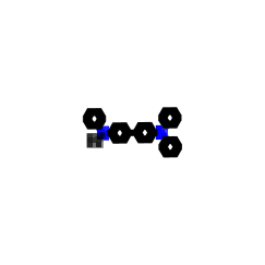 CCN(c1ccccc1)c1ccc(-c2ccc(N(c3ccccc3)c3ccccc3)cc2)cc1